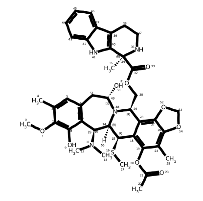 COc1c(C)cc2c(c1O)[C@H](N(C)C)[C@@H]1[C@H](SC)c3c(OC(C)=O)c(C)c4c(c3[C@H](COC(=O)[C@]3(C)NCCc5c3[nH]c3ccccc53)N1[C@@H](O)C2)OCO4